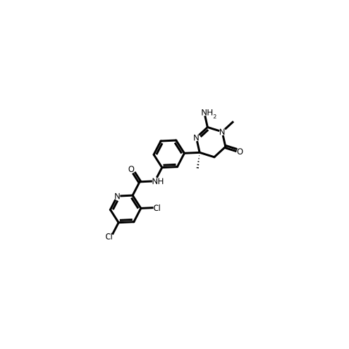 CN1C(=O)C[C@@](C)(c2cccc(NC(=O)c3ncc(Cl)cc3Cl)c2)N=C1N